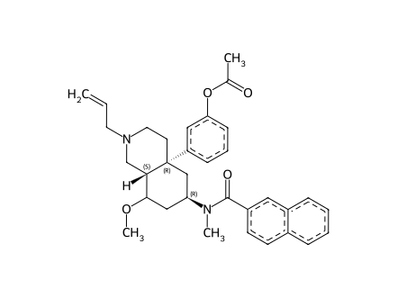 C=CCN1CC[C@@]2(c3cccc(OC(C)=O)c3)C[C@@H](N(C)C(=O)c3ccc4ccccc4c3)CC(OC)[C@@H]2C1